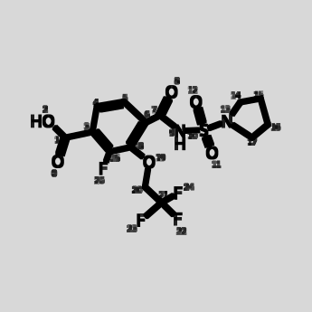 O=C(O)c1ccc(C(=O)NS(=O)(=O)N2CCCC2)c(OCC(F)(F)F)c1F